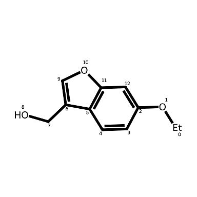 CCOc1ccc2c(CO)coc2c1